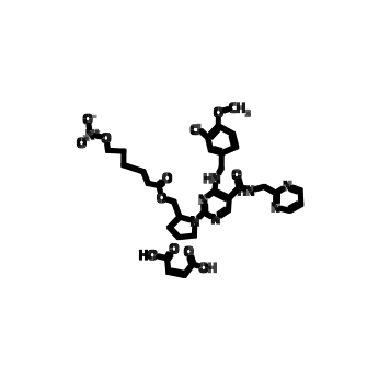 COc1ccc(CNc2nc(N3CCCC3COC(=O)CCCCCO[N+](=O)[O-])ncc2C(=O)NCc2ncccn2)cc1Cl.O=C(O)/C=C\C(=O)O